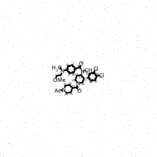 COCCN(C)c1ccc(C(=O)N(C)[C@@H]2CCN(C(=O)C3CCN(C(C)=O)CC3)C[C@H]2c2ccc(Cl)c(Cl)c2)cc1